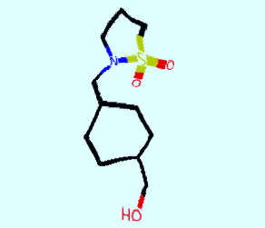 O=S1(=O)CCCN1CC1CCC(CO)CC1